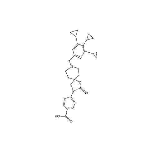 O=C(O)c1ccc(N2CC3(CCN(Cc4cc(C5CC5)c(C5CC5)c(C5CC5)c4)CC3)OC2=O)cc1